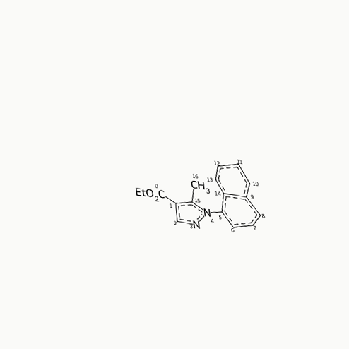 CCOC(=O)c1cnn(-c2cccc3ccccc23)c1C